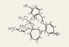 C=C=CCC1(O[Si](C)(C)C)C=CC=CN(c2cc(Br)ccc2OCc2ccc(F)cc2)C1